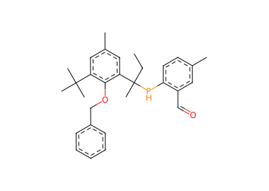 CCC(C)(Pc1ccc(C)cc1C=O)c1cc(C)cc(C(C)(C)C)c1OCc1ccccc1